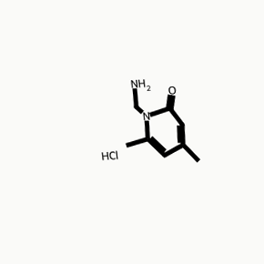 Cc1cc(C)n(CN)c(=O)c1.Cl